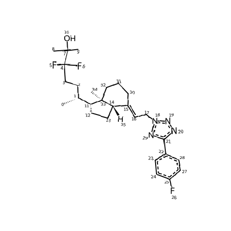 C[C@H](CCC(F)(F)C(C)(C)O)[C@H]1CC[C@H]2/C(=C/Cn3nnc(-c4ccc(F)cc4)n3)CCC[C@]12C